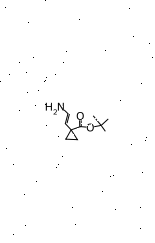 CC(C)(C)OC(=O)C1(C=CN)CC1